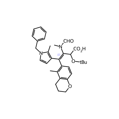 Cc1c(/C(=C(\C(OC(C)(C)C)C(=O)O)N(C)C=O)c2ccn(Cc3ccccc3)c2C)ccc2c1CCCO2